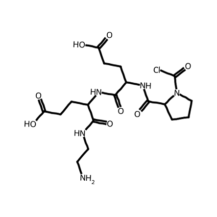 NCCNC(=O)C(CCC(=O)O)NC(=O)C(CCC(=O)O)NC(=O)C1CCCN1C(=O)Cl